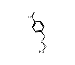 CNc1ccc(SOOO)cc1